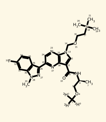 [2H]C([2H])([2H])OC[C@H](C)NC(=O)c1cn(COCC[Si](C)(C)C)c2ncc(-c3nn(C)c4cc(F)ccc34)nc12